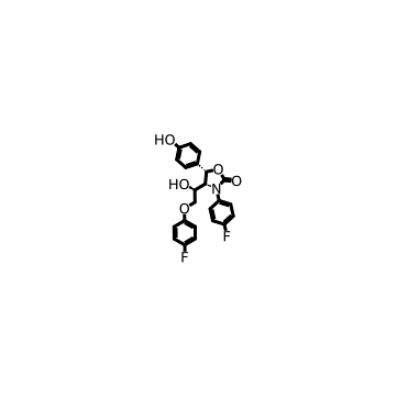 O=C1O[C@@H](c2ccc(O)cc2)[C@@H]([C@H](O)COc2ccc(F)cc2)N1c1ccc(F)cc1